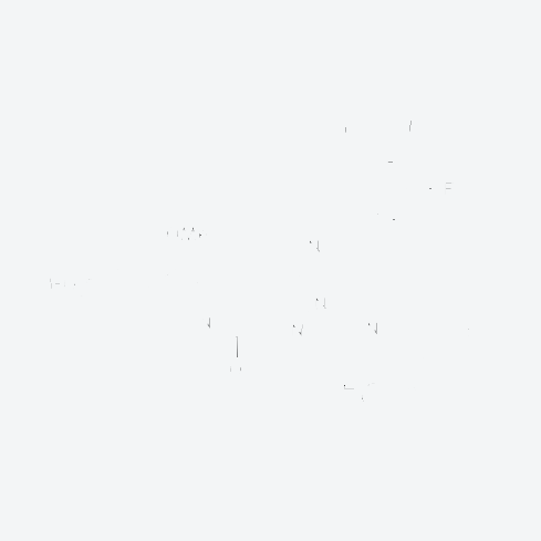 COC1CN(C(=O)c2cc3nc(-c4cc(F)c(F)c(F)c4)cc(NCc4c(C)cccc4C)n3n2)CCC1CC(=O)O